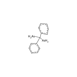 [AsH2]C([AsH2])(c1ccccc1)c1ccccc1